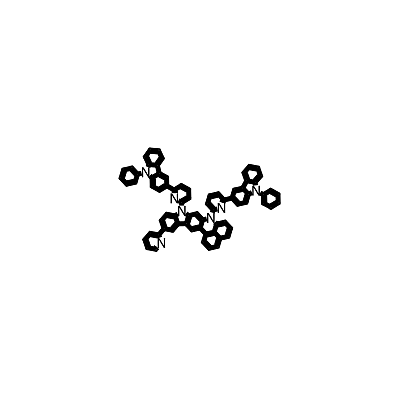 c1ccc(-n2c3ccccc3c3cc(-c4cccc(N5c6cc7c(cc6-c6cccc8cccc5c68)c5cc(-c6ccccn6)ccc5n7-c5cccc(-c6ccc7c(c6)c6ccccc6n7-c6ccccc6)n5)n4)ccc32)cc1